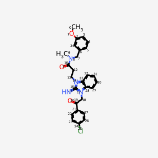 COc1cccc(CN(C)C(=O)CCn2c(=N)n(CC(=O)c3ccc(Cl)cc3)c3ccccc32)c1